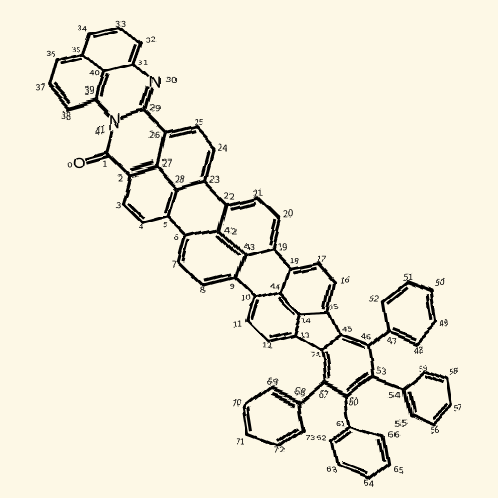 O=c1c2ccc3c4ccc5c6ccc7c8c(ccc(c9ccc(c%10ccc(c2c3%10)c2nc3cccc%10cccc(c%103)n12)c4c59)c86)-c1c(-c2ccccc2)c(-c2ccccc2)c(-c2ccccc2)c(-c2ccccc2)c1-7